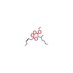 CC/C=C\CC(=O)OC(C(=O)OCC)C(C)CCCC